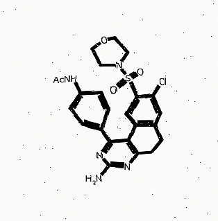 CC(=O)Nc1ccc(-c2nc(N)nc3c2-c2cc(S(=O)(=O)N4CCOCC4)c(Cl)cc2CC3)cc1